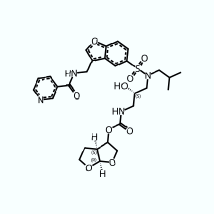 CC(C)CN(C[C@@H](O)CNC(=O)OC1CO[C@H]2OCC[C@@H]12)S(=O)(=O)c1ccc2occ(CNC(=O)c3cccnc3)c2c1